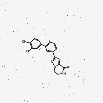 O=C1NCCn2nc(-c3ccnc(-c4ccc(Cl)c(Cl)c4)c3)cc21